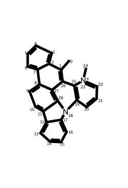 Cc1c2ccccc2c2ccc3c4ccccc4n4c5ccc[n+](C)c5c1c2c34